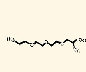 CCCCCCCCC(O)COCCOCCOCCO